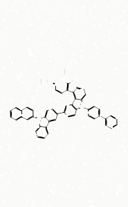 C=C/C=C\c1c(C)sc2ccc3c(c4cc(-c5ccc6c(c5)c5ccccc5n6-c5ccc6ccccc6c5)ccc4n3-c3ccc(-c4ccccc4)cc3)c12